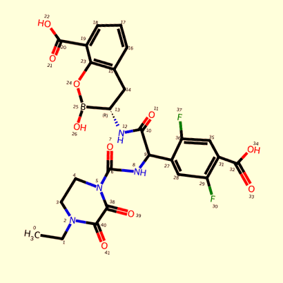 CCN1CCN(C(=O)NC(C(=O)N[C@H]2Cc3cccc(C(=O)O)c3OB2O)c2cc(F)c(C(=O)O)cc2F)C(=O)C1=O